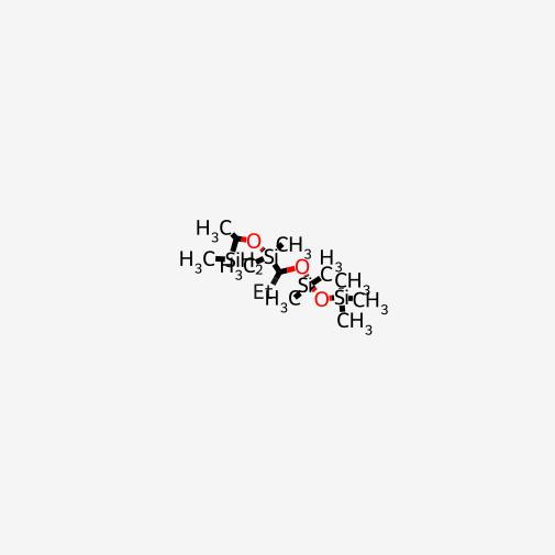 CCC(O[Si](C)(C)O[Si](C)(C)C)[Si](C)(C)OC(C)[SiH2]C